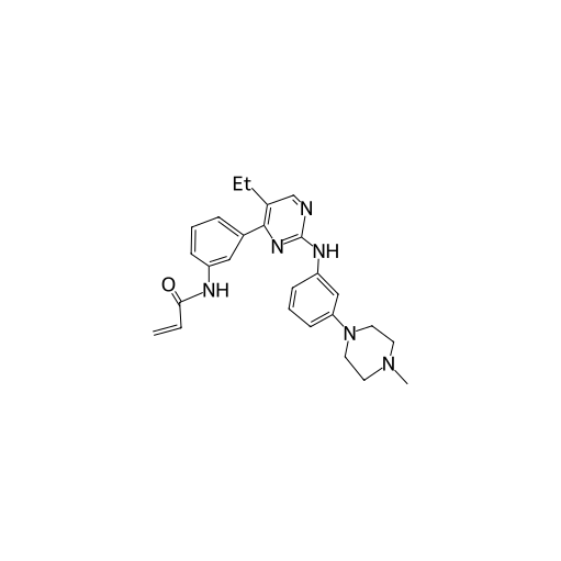 C=CC(=O)Nc1cccc(-c2nc(Nc3cccc(N4CCN(C)CC4)c3)ncc2CC)c1